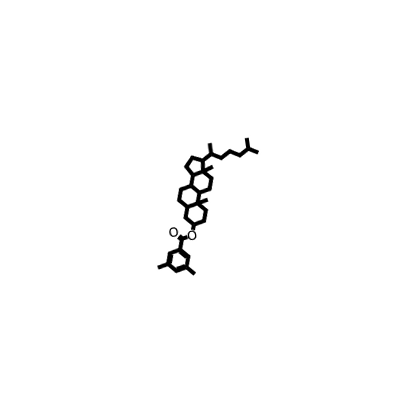 Cc1cc(C)cc(C(=O)OC2CCC3(C)C(CCC4C3CCC3(C)C(C(C)CCCC(C)C)CCC43)C2)c1